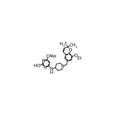 CCOc1cc(CN2CCC(Nc3cc(OC)nc(O)n3)CC2)cc2c1OC(C)(C)C=C2